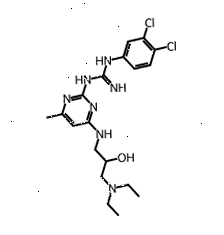 CCN(CC)CC(O)CNc1cc(C)nc(NC(=N)Nc2ccc(Cl)c(Cl)c2)n1